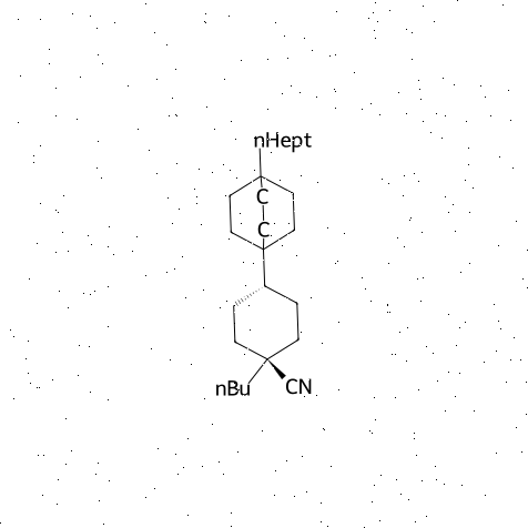 CCCCCCCC12CCC([C@H]3CC[C@@](C#N)(CCCC)CC3)(CC1)CC2